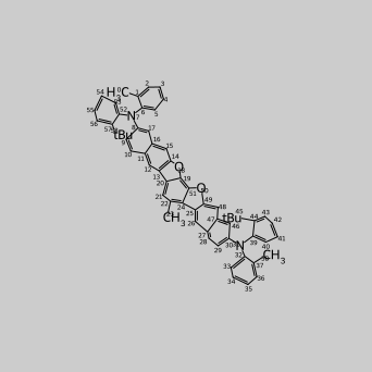 Cc1ccccc1N(c1ccc2cc3c(cc2c1)oc1c3cc(C)c2c3cc4ccc(N(c5ccccc5C)c5ccccc5C(C)(C)C)cc4cc3oc12)c1ccccc1C(C)(C)C